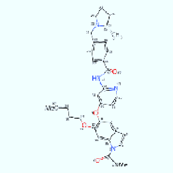 CNC(=O)n1ccc2cc(Oc3ccnc(NC(=O)c4ccc(CN5CCC[C@@H]5C)cc4)c3)c(OCCCOC)cc21